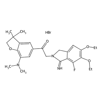 Br.CCOc1cc2c(c(F)c1OCC)C(=N)N(CC(=O)c1cc(N(C)C)c3c(c1)C(C)(C)CO3)C2